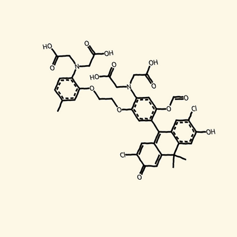 Cc1ccc(N(CC(=O)O)CC(=O)O)c(OCCOc2cc(C3=C4C=C(Cl)C(=O)C=C4C(C)(C)c4cc(O)c(Cl)cc43)c(OC=O)cc2N(CC(=O)O)CC(=O)O)c1